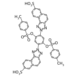 Cc1ccc(S(=O)(=O)Oc2cc(-n3nc4ccc5cc(S(=O)(=O)O)ccc5c4n3)c(OS(=O)(=O)c3ccc(C)cc3)cc2-n2nc3ccc4cc(S(=O)(=O)O)ccc4c3n2)cc1